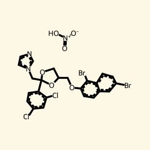 Clc1ccc(C2(Cn3ccnc3)OCC(COc3ccc4cc(Br)ccc4c3Br)O2)c(Cl)c1.O=[N+]([O-])O